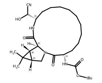 CC(C)(C)OC(=O)N[C@H]1CCCCCCCCC[C@@H](C(O)C#N)NC(=O)[C@@H]2[C@@H]3[C@H](CN2C1=O)C3(C)C